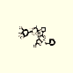 COc1c(Cl)cc(C(=O)N[C@@H](C)C(=O)N2CCC[C@H]2C(=O)N[C@H]2CC(=O)OC2OCc2ccccc2)cc1Cl